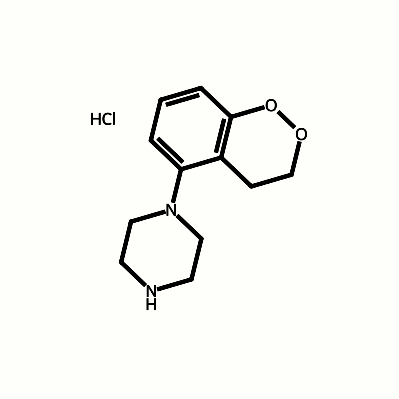 Cl.c1cc2c(c(N3CCNCC3)c1)CCOO2